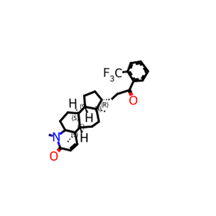 CN1C(=O)C=C[C@@]2(C)C1CC[C@H]1[C@@H]3CC[C@H](CCC(=O)c4ccccc4C(F)(F)F)[C@@]3(C)CC[C@@H]12